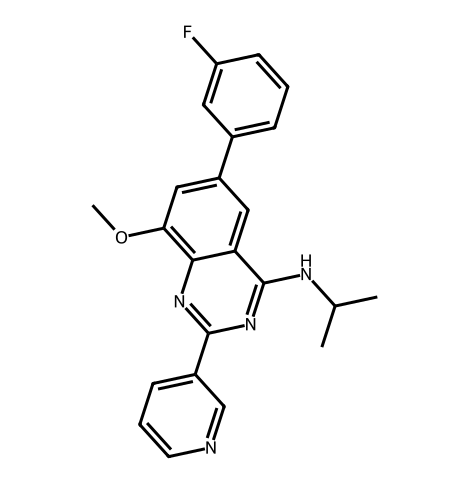 COc1cc(-c2cccc(F)c2)cc2c(NC(C)C)nc(-c3cccnc3)nc12